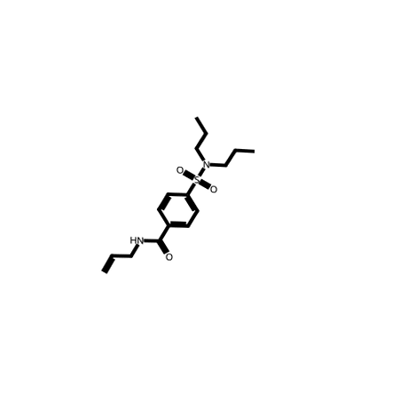 C=CCNC(=O)c1ccc(S(=O)(=O)N(CCC)CCC)cc1